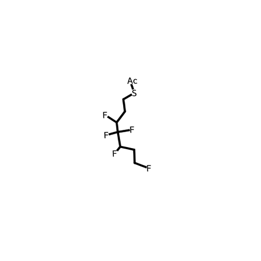 CC(=O)SCCC(F)C(F)(F)C(F)CCF